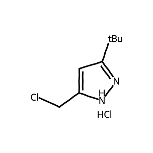 CC(C)(C)c1cc(CCl)[nH]n1.Cl